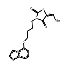 CCCC/C=C1/SC(=O)N(CCCCSc2cccc3nccn23)C1=O